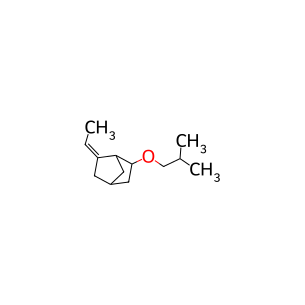 CC=C1CC2CC(OCC(C)C)C1C2